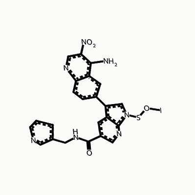 Nc1c([N+](=O)[O-])cnc2ccc(-c3cn(SOI)c4ncc(C(=O)NCc5cccnc5)cc34)cc12